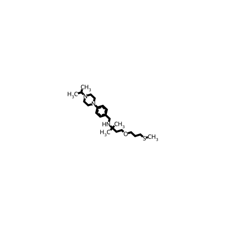 CSCCCOCCC(C)(C)NCc1ccc(N2CCN(C(C)C)CC2)cc1